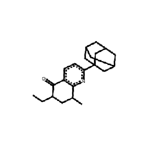 CCC1CC(C)c2nc(C34CC5CC(CC(C5)C3)C4)ccc2C1=O